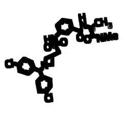 CNC(=O)[C@H](C)NC(=O)c1cccc(NS(=O)(=O)CC2CN(C(c3ccc(Cl)cc3)c3ccc(Cl)cc3)C2)c1